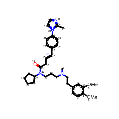 COc1ccc(CCN(C)CCCN(C(=O)C/C=C/c2ccc(-n3ccnc3C)cc2)C2CCCC2)cc1OC